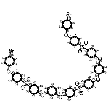 O=S(=O)(c1ccc(Oc2ccc(Br)cc2)cc1)c1ccc(Oc2ccc(Oc3ccc(S(=O)(=O)c4ccc(Oc5cccc(Oc6ccc(S(=O)(=O)c7ccc(Oc8ccc(Br)cc8)cc7)cc6)c5)cc4)cc3)cc2)cc1